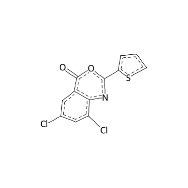 O=c1oc(-c2cccs2)nc2c(Cl)cc(Cl)cc12